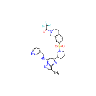 Bc1cnn2c(NCc3cccnc3)cc(C3CCCN(S(=O)(=O)c4ccc5c(c4)CN(C(=O)C(F)(F)F)CC5)C3)nc12